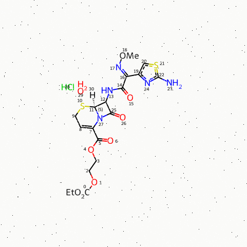 CCOC(=O)OCCOC(=O)C1=CCS[C@H]2C(NC(=O)C(=NOC)c3csc(N)n3)C(=O)N12.Cl.O